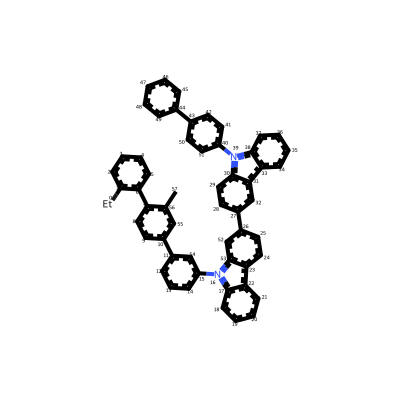 CCc1ccccc1-c1ccc(-c2cccc(-n3c4ccccc4c4ccc(-c5ccc6c(c5)c5ccccc5n6-c5ccc(-c6ccccc6)cc5)cc43)c2)cc1C